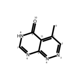 Cc1cnnc2nc[nH]c(=O)c12